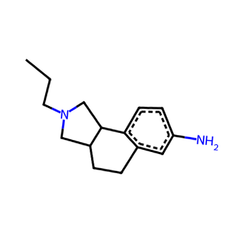 CCCN1CC2CCc3cc(N)ccc3C2C1